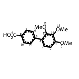 COc1ccc(-c2ccc(C(=O)O)cc2)c(OC)c1OC